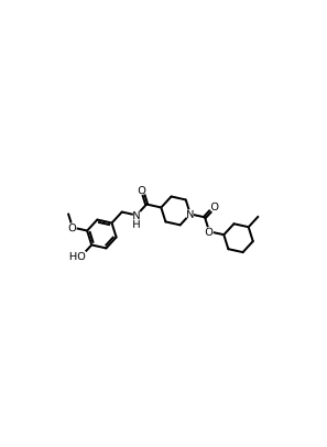 COc1cc(CNC(=O)C2CCN(C(=O)OC3CCCC(C)C3)CC2)ccc1O